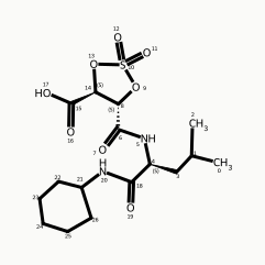 CC(C)C[C@H](NC(=O)[C@H]1OS(=O)(=O)O[C@@H]1C(=O)O)C(=O)NC1CCCCC1